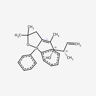 C=C[C@H](C)[C@H](O)/C(C)=C1/CC(C)(C)O[Si]1(c1ccccc1)c1ccccc1